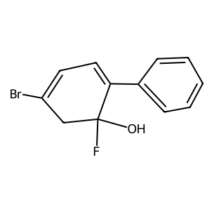 OC1(F)CC(Br)=CC=C1c1ccccc1